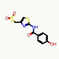 O=C(Nc1nc(C[SH](=O)=O)cs1)c1ccc(O)cc1